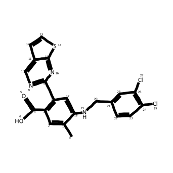 Cc1cc(C(=O)O)c(-c2ncc3ccsc3n2)cc1NCc1ccc(Cl)c(Cl)c1